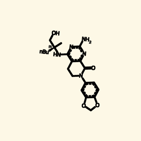 CCCC[C@](C)(CO)Nc1nc(N)nc2c1CCN(c1ccc3c(c1)OCO3)C2=O